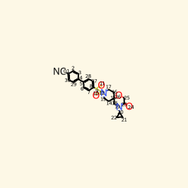 N#Cc1ccc(-c2ccc(S(=O)(=O)N3CCC4(CC3)CN(C3CC3)C(=O)CO4)cc2)cc1